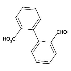 O=[C]c1ccccc1-c1ccccc1C(=O)O